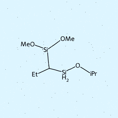 CCC([SiH2]OC(C)C)[Si](OC)OC